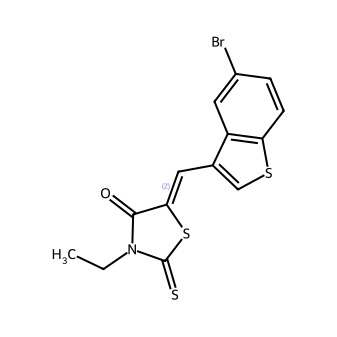 CCN1C(=O)/C(=C/c2csc3ccc(Br)cc23)SC1=S